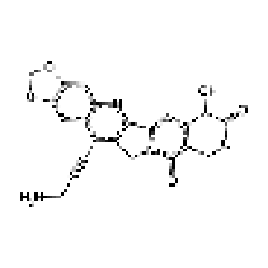 NCC#Cc1c2c(nc3cc4c(cc13)OCO4)-c1cc3c(c(=O)n1C2)COC(=O)C3O